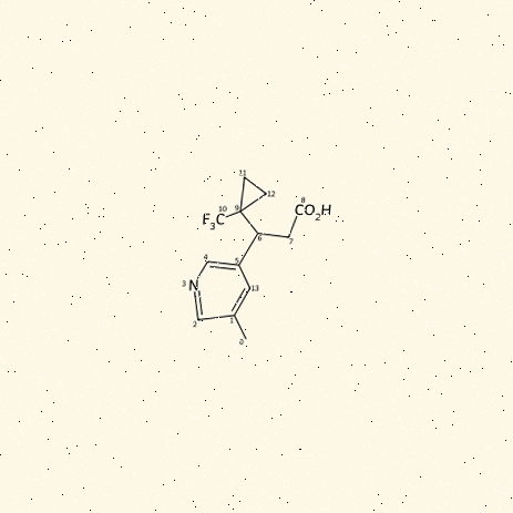 Cc1cncc(C(CC(=O)O)C2(C(F)(F)F)CC2)c1